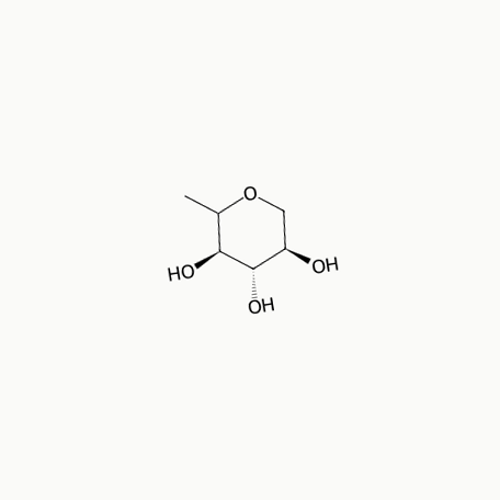 CC1OC[C@@H](O)[C@H](O)[C@H]1O